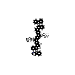 C/C=C\c1c(C)c2ccccc2n1-c1cc2c(c3ccccc13)-c1cc3c(cc1C2(C)C)-c1cc2c(cc1C3(CCCCCCCC)CCCCCCCC)-c1cc3c(cc1C2(CCCCCCCC)CCCCCCCC)-c1c(cc(-n2c4ccccc4c4ccccc42)c2ccccc12)C3(C)C